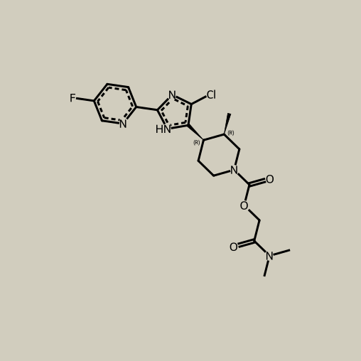 C[C@H]1CN(C(=O)OCC(=O)N(C)C)CC[C@H]1c1[nH]c(-c2ccc(F)cn2)nc1Cl